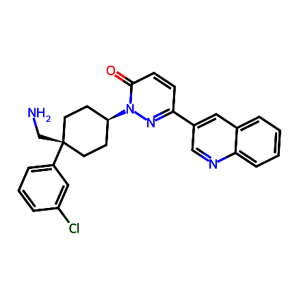 NC[C@]1(c2cccc(Cl)c2)CC[C@H](n2nc(-c3cnc4ccccc4c3)ccc2=O)CC1